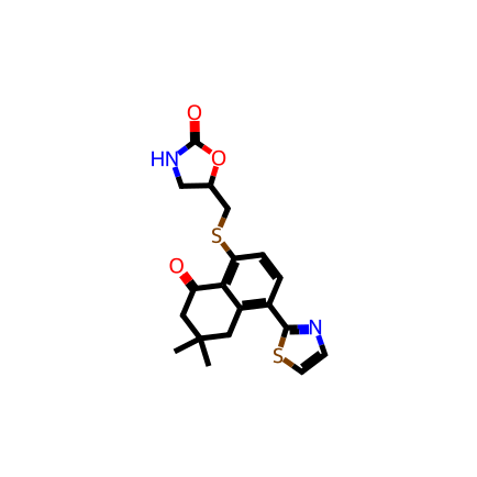 CC1(C)CC(=O)c2c(SCC3CNC(=O)O3)ccc(-c3nccs3)c2C1